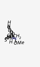 C=C(COc1ccc(OC[C@@H]2CCNC2)cc1)/C(=C\C=C/CCOC)NC(=O)c1cc2sccc2n1C